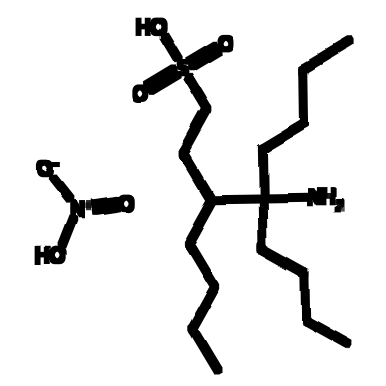 CCCCC(CCS(=O)(=O)O)C(N)(CCCC)CCCC.O=[N+]([O-])O